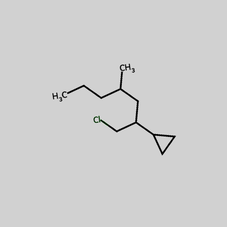 CCCC(C)CC(CCl)C1CC1